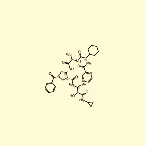 CCC[C@H](NC(=O)[C@@H]1CN(C(=O)c2ccccc2)C[C@@H]1NC(=O)C(NC(=O)[C@@H](NC(=O)c1cnccn1)C1CCCCC1)C(C)(C)C)C(O)C(=O)NC1CC1